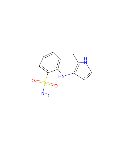 Cc1[nH]ccc1Nc1ccccc1S(N)(=O)=O